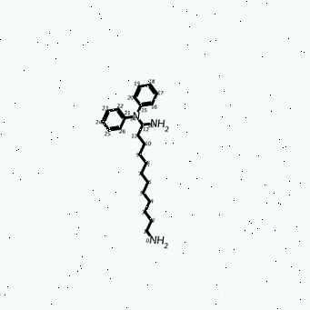 NCCCCCCCCCCCC(N)N(c1ccccc1)c1ccccc1